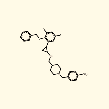 O=C(O)c1ccc(CN2CCC(CNC3CC3c3cc(F)cc(F)c3OCc3ccccc3)CC2)cc1